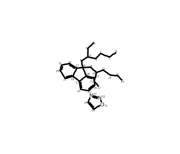 CCCCC(CC)CC1(CC(CC)CCCC)c2ccccc2-c2ccccc21.c1conn1